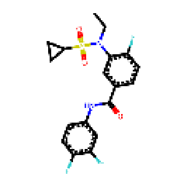 CCN(c1cc(C(=O)Nc2ccc(F)c(F)c2)ccc1F)S(=O)(=O)C1CC1